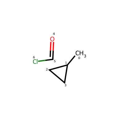 CC1CC1.O=CCl